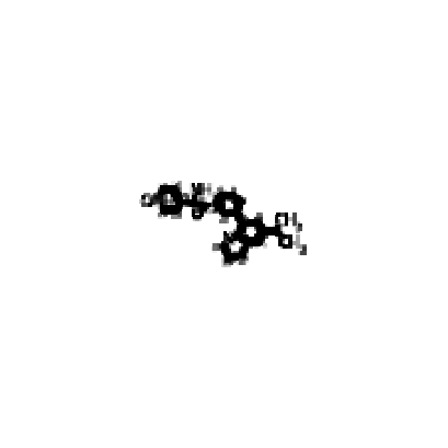 CC(C)c1cc(-c2cccc([C@@H]3OC3(N)C3=CC[NH+]([O-])C=C3)c2)c2ncccc2c1